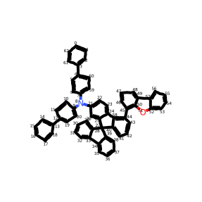 c1ccc(-c2ccc(N(c3ccc(-c4ccccc4)cc3)c3ccc4c(c3)C3(c5ccccc5-c5ccccc53)c3cccc(-c5cccc6c5oc5ccccc56)c3-4)cc2)cc1